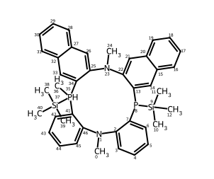 CN1c2ccccc2P([Si](C)(C)C)c2cc3ccccc3cc2N(C)c2cc3ccccc3cc2[PH](C)([Si](C)(C)C)c2ccccc21